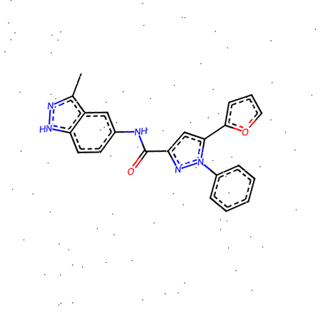 Cc1n[nH]c2ccc(NC(=O)c3cc(-c4ccco4)n(-c4ccccc4)n3)cc12